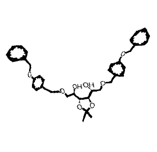 CC1(C)O[C@H]([C@H](O)COCc2ccc(OCc3ccccc3)cc2)[C@@H]([C@H](O)COCc2ccc(OCc3ccccc3)cc2)O1